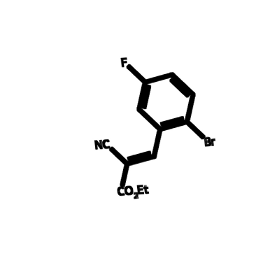 CCOC(=O)/C(C#N)=C/c1cc(F)ccc1Br